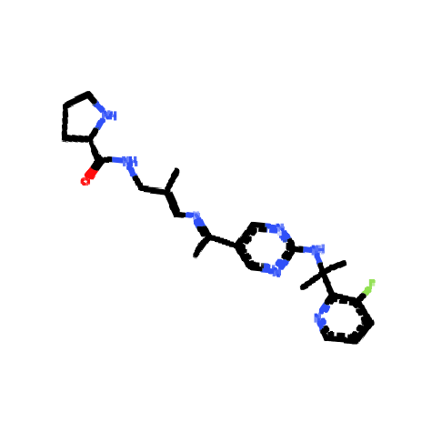 C/C(=C\N=C(/C)c1cnc(NC(C)(C)c2ncccc2F)nc1)CNC(=O)[C@H]1CCCN1